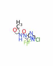 CC1CC(NC(=O)N2CC(C(F)(F)F)c3c2cnc2cc(Cl)nn32)CCO1